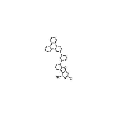 N#Cc1nc(Cl)nc2oc3c(-c4cccc(-c5ccc6c7ccccc7c7ccccc7c6c5)c4)cccc3c12